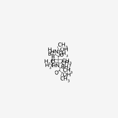 BBC(NC(C)(O)CC)C(=O)C(CC)(CC)C(CC)(CC)NC(B)C(=O)C(C)(O)CC